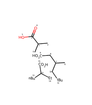 CC(C)C(=O)O.CC(CC(=O)O)CC(C)(C)C.CCCCC(CC)C(=O)O